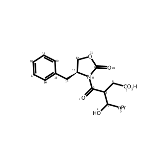 CCCC(O)C(CC(=O)O)C(=O)N1C(=O)OC[C@@H]1Cc1ccccc1